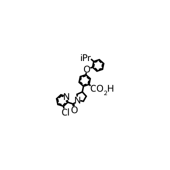 CC(C)c1ccccc1Oc1ccc(C2CCN(C(=O)c3ncccc3Cl)C2)c(C(=O)O)c1